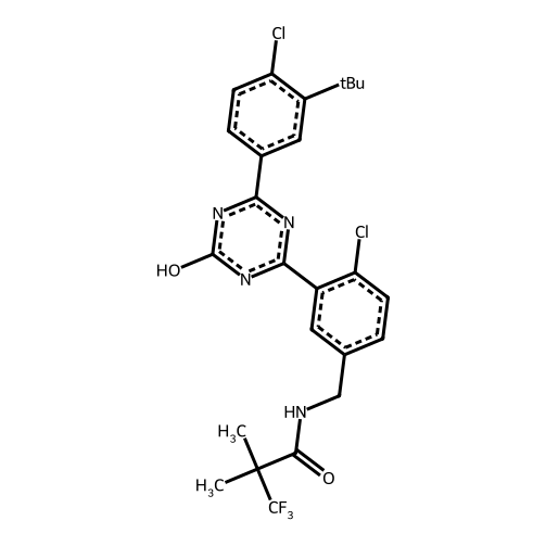 CC(C)(C)c1cc(-c2nc(O)nc(-c3cc(CNC(=O)C(C)(C)C(F)(F)F)ccc3Cl)n2)ccc1Cl